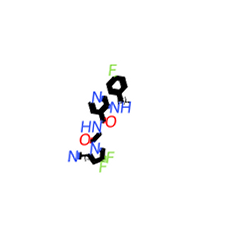 C[C@H](Nc1cnccc1C(=O)NCC(=O)N1CC(F)(F)C[C@H]1C#N)c1ccc(F)cc1